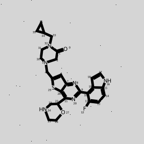 O=C1CN(Cc2cc3nc(-c4c(F)ccc5[nH]ccc45)nc(C4CNCCO4)c3s2)CCN1CC1CC1